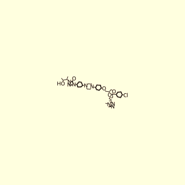 CC(O)C(C)n1ncn(-c2ccc(N3CCN(c4ccc(OCC5COC(CSc6nncn6C)(c6ccc(Cl)cc6)O5)cc4)CC3)cc2)c1=O